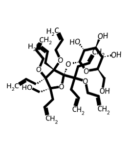 C=CCOC(CC=C)(CC=C)[C@@]1(O[C@H]2O[C@H](CO)[C@@H](O)[C@H](O)[C@H]2O)O[C@@](CO)(CC=C)[C@@](CC=C)(OCC=C)[C@]1(CC=C)OCC=C